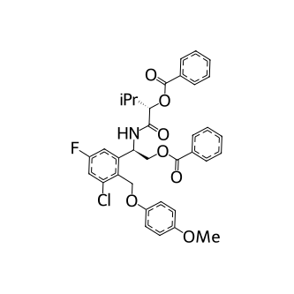 COc1ccc(OCc2c(Cl)cc(F)cc2[C@H](COC(=O)c2ccccc2)NC(=O)[C@@H](OC(=O)c2ccccc2)C(C)C)cc1